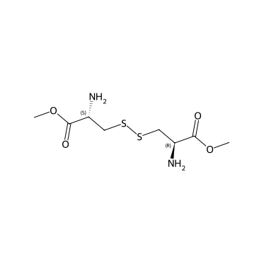 COC(=O)[C@H](N)CSSC[C@H](N)C(=O)OC